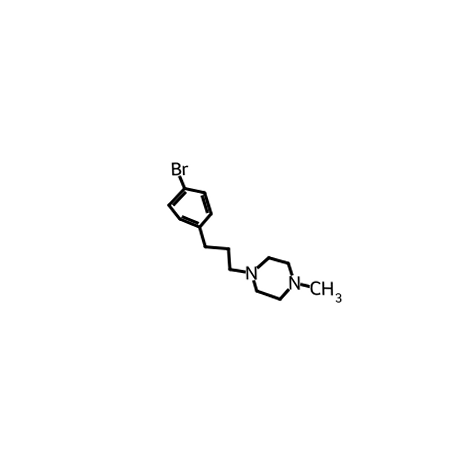 CN1CCN(CCCc2ccc(Br)cc2)CC1